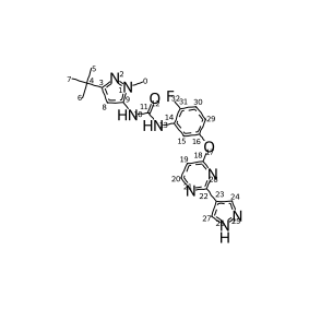 Cn1nc(C(C)(C)C)cc1NC(=O)Nc1cc(Oc2ccnc(-c3cn[nH]c3)n2)ccc1F